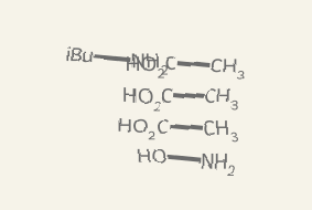 CC(=O)O.CC(=O)O.CC(=O)O.CCC(C)N.NO